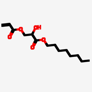 C=CC(=O)OCC(O)C(=O)OCCCCCCCC